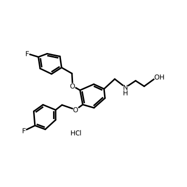 Cl.OCCNCc1ccc(OCc2ccc(F)cc2)c(OCc2ccc(F)cc2)c1